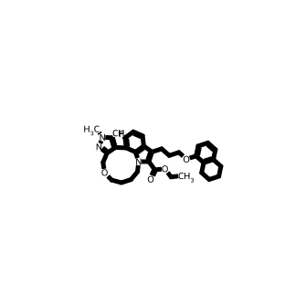 CCOC(=O)c1c(CCCOc2cccc3c2CCCC3)c2ccc(F)c3c2n1CCCCOCc1nn(C)c(C)c1-3